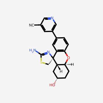 N#Cc1cncc(-c2ccc3c(c2)[C@@]2(CSC(N)=N2)[C@H]2C[C@@H](O)CC[C@@H]2O3)c1